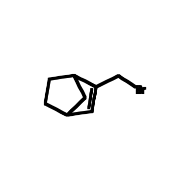 BrCC1=CC2CCC1C2